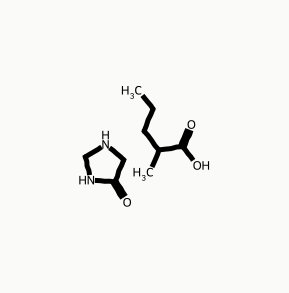 CCCC(C)C(=O)O.O=C1CNCN1